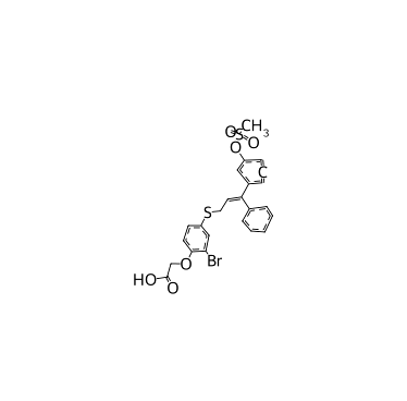 CS(=O)(=O)Oc1cccc(C(=CCSc2ccc(OCC(=O)O)c(Br)c2)c2ccccc2)c1